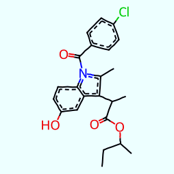 CCC(C)OC(=O)C(C)c1c(C)n(C(=O)c2ccc(Cl)cc2)c2ccc(O)cc12